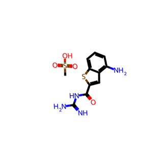 CS(=O)(=O)O.N=C(N)NC(=O)c1cc2c(N)cccc2s1